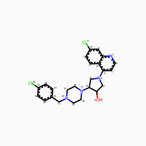 OC1CN(c2ccnc3cc(Cl)ccc23)CC1N1CCN(Cc2ccc(Cl)cc2)CC1